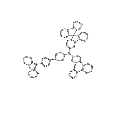 c1ccc2c(c1)-c1ccccc1C21c2ccccc2-c2cc(N(c3ccc(-c4ccc(-n5c6ccccc6c6ccccc65)cc4)cc3)c3ccc4c5ccccc5c5ccccc5c4c3)ccc21